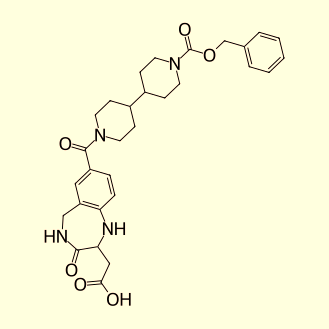 O=C(O)CC1Nc2ccc(C(=O)N3CCC(C4CCN(C(=O)OCc5ccccc5)CC4)CC3)cc2CNC1=O